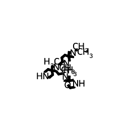 CC(C)N1CC2(CCC(C(C)(C)N3CC4(CCNCC4)C3CC(C)N3CC4(CNCCO4)C3)NC2)C1